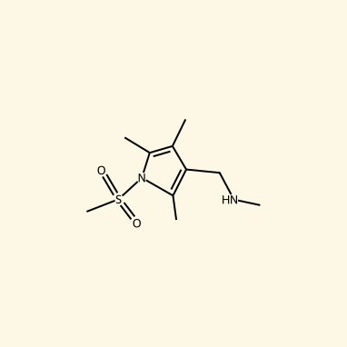 CNCc1c(C)c(C)n(S(C)(=O)=O)c1C